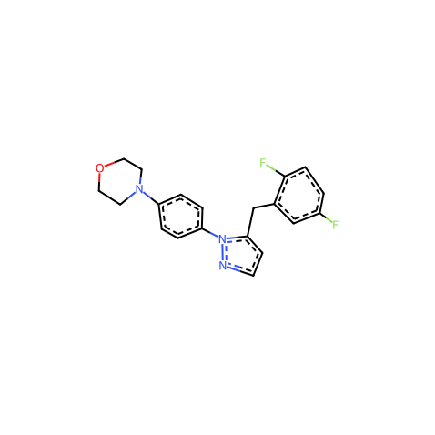 Fc1ccc(F)c(Cc2ccnn2-c2ccc(N3CCOCC3)cc2)c1